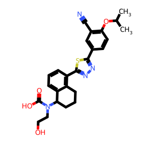 CC(C)Oc1ccc(-c2nnc(-c3cccc4c3CCCC4N(CCO)C(=O)O)s2)cc1C#N